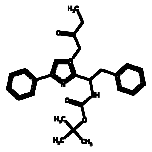 CCC(=O)Cn1cc(-c2ccccc2)nc1C(Cc1ccccc1)NC(=O)OC(C)(C)C